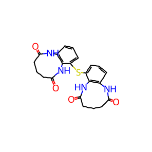 O=C1CCCC(=O)Nc2c(cccc2Sc2cccc3c2NC(=O)CCCC(=O)N3)N1